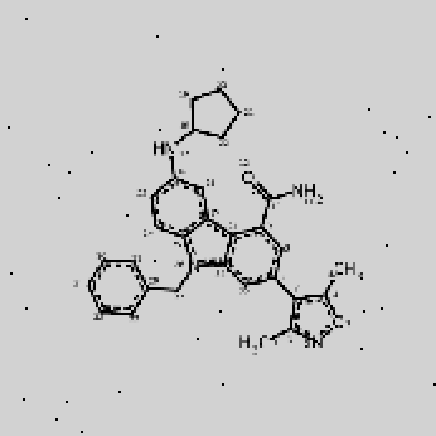 Cc1noc(C)c1-c1cc(C(N)=O)c2c3cc(NC4CCCC4)ccc3n(Cc3ccccc3)c2c1